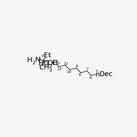 CCC(C)(N)O.CCCCCCCCCCCCCCCCCC(=O)O